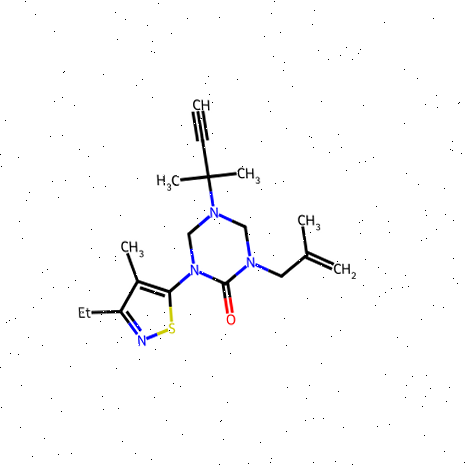 C#CC(C)(C)N1CN(CC(=C)C)C(=O)N(c2snc(CC)c2C)C1